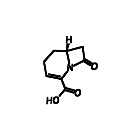 O=C(O)C1=CCC[C@@H]2CC(=O)N12